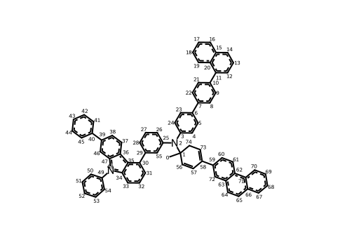 CC1(N(c2ccc(-c3ccc(-c4cccc5ccccc45)cc3)cc2)c2cccc(-c3cccc4c3c3ccc(-c5ccccc5)cc3n4-c3ccccc3)c2)C=CC(c2ccc3c(ccc4ccccc43)c2)=CC1